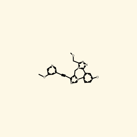 COCc1nnc2n1Cc1c(C#Cc3cncc(OC)c3)ncn1-c1ccc(Cl)cc1-2